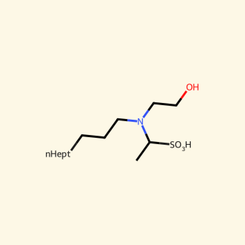 CCCCCCCCCCN(CCO)C(C)S(=O)(=O)O